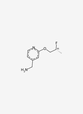 C[C@@H](F)COc1cc(CN)ccn1